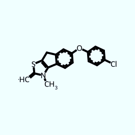 [CH]=C1SC2=C(c3ccc(Oc4ccc(Cl)cc4)cc3C2)N1C